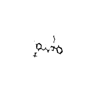 CCCCOC1(c2ccccc2C)CN(C(=O)C(N)Cc2ccc(OC)cc2OC(=O)C(F)(F)F)C1